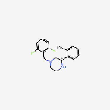 CC(C)c1ccccc1[C@@H]1CN(Cc2c(F)cccc2F)CCN1